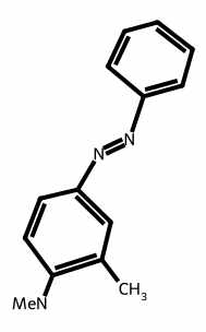 CNc1ccc(N=Nc2ccccc2)cc1C